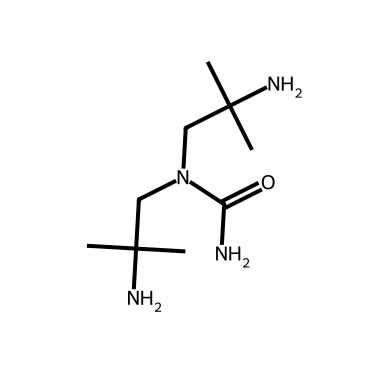 CC(C)(N)CN(CC(C)(C)N)C(N)=O